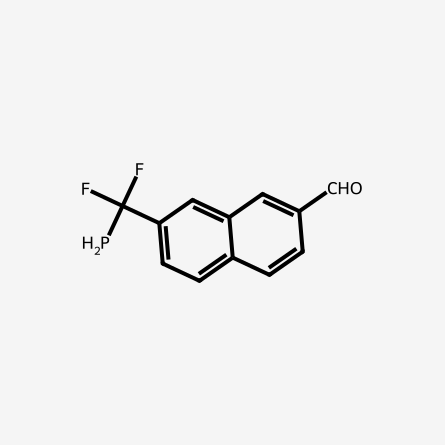 O=Cc1ccc2ccc(C(F)(F)P)cc2c1